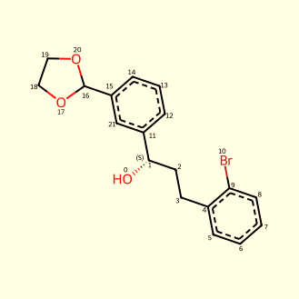 O[C@@H](CCc1ccccc1Br)c1cccc(C2OCCO2)c1